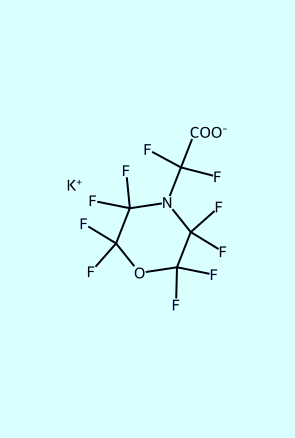 O=C([O-])C(F)(F)N1C(F)(F)C(F)(F)OC(F)(F)C1(F)F.[K+]